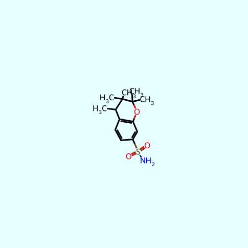 CC1c2ccc(S(N)(=O)=O)cc2OC(C)(C)C1(C)C